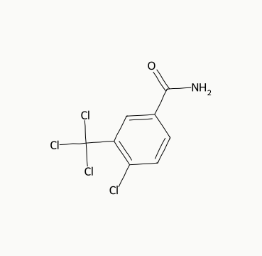 NC(=O)c1ccc(Cl)c(C(Cl)(Cl)Cl)c1